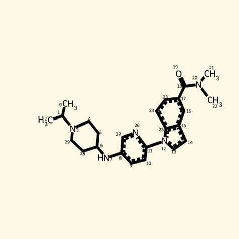 CC(C)N1CCC(Nc2ccc(-n3ccc4cc(C(=O)N(C)C)ccc43)nc2)CC1